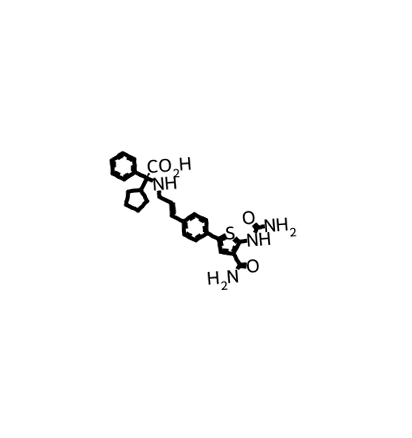 NC(=O)Nc1sc(-c2ccc(/C=C/CN[C@](C(=O)O)(c3ccccc3)C3CCCC3)cc2)cc1C(N)=O